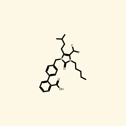 CCCCCn1c(C(F)F)c(CCC(C)C)n(Cc2ccc(-c3ccccc3C(=O)O)cc2)c1=O